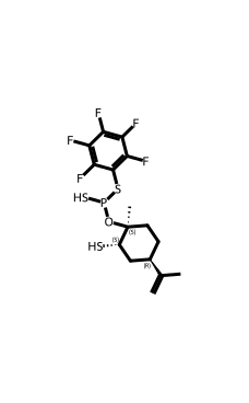 C=C(C)[C@@H]1CC[C@](C)(OP(S)Sc2c(F)c(F)c(F)c(F)c2F)[C@@H](S)C1